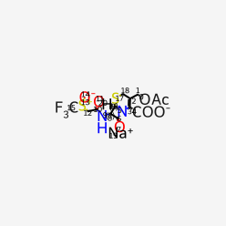 CC(=O)OCC1=C(C(=O)[O-])N2C(=O)[C@@H](NC(=O)C[S+]([O-])C(F)(F)F)[C@H]2SC1.[Na+]